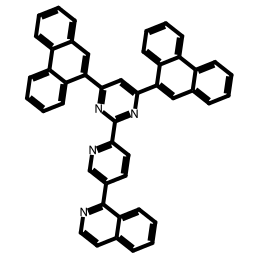 c1ccc2c(-c3ccc(-c4nc(-c5cc6ccccc6c6ccccc56)cc(-c5cc6ccccc6c6ccccc56)n4)nc3)nccc2c1